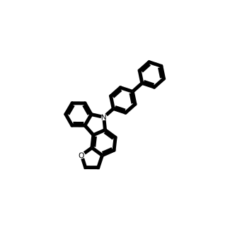 c1ccc(-c2ccc(-n3c4ccccc4c4c5c(ccc43)CCO5)cc2)cc1